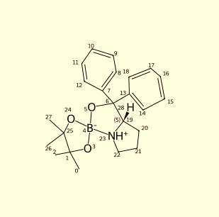 CC1(C)O[B-]2(OC(c3ccccc3)(c3ccccc3)[C@@H]3CCC[NH+]32)OC1(C)C